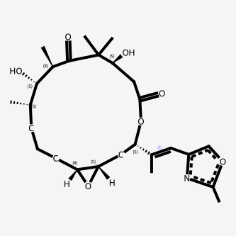 C/C(=C\c1coc(C)n1)[C@@H]1C[C@@H]2O[C@@H]2CCC[C@H](C)[C@H](O)[C@@H](C)C(=O)C(C)(C)[C@@H](O)CC(=O)O1